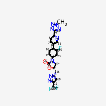 Cn1nnc(-c2ccc(-c3ccc(N4C[C@H](Cn5cc(C(F)F)nn5)OC4=O)cc3F)cn2)n1